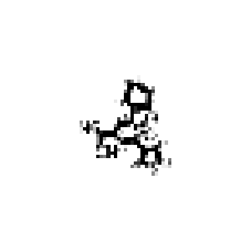 N#CC(C#N)=C1C=C(c2ccccc2)S(=O)(=O)C(c2ccsc2)=C1